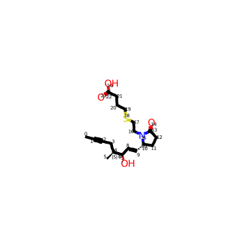 CC#CC[C@H](C)[C@H](O)C=C[C@H]1CCC(=O)N1CCSCCCC(=O)O